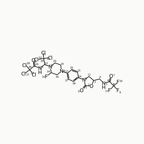 O=C1OC(CNC(=O)C(F)(F)F)CN1c1ccc(N2CCN(C(NC(=O)C(Cl)(Cl)Cl)C(Cl)(Cl)Cl)C(F)C2)cc1